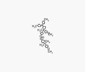 CCOc1ccc(C(C)(CC)c2ccc(OC(=O)Oc3ccc(C(C)(c4ccc(OC)cc4)c4cccc(N(c5ccc(C)cc5)c5ccc(C)cc5)c4)cc3)cc2)cc1